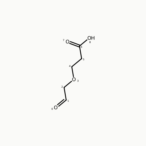 O=CCOCCC(=O)O